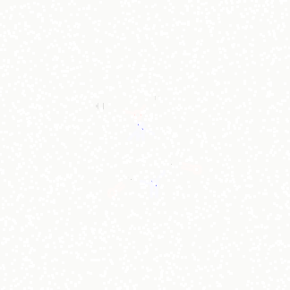 CC(C)(C)OC=O.O=C1CNCC(=O)N1